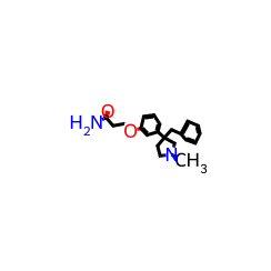 CN1CCC(Cc2ccccc2)(c2cccc(OCCC(N)=O)c2)C1